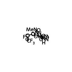 CNC(=O)N(c1ccc(S(=O)(=O)Nc2ncccn2)cn1)c1ccc(-c2ccc(F)c(OC(F)(F)F)c2)cc1OC